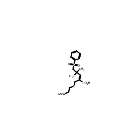 COCCOC/C(=C\C(C)(C)CS(=O)(=O)c1ccccc1)C(=O)O